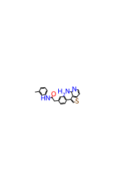 Cc1cccc(NC(=O)Cc2ccc(-c3csc4ccnc(N)c34)cc2)c1